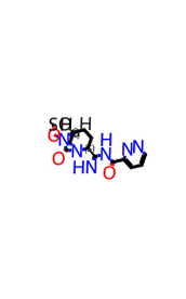 N=C(NC(=O)c1cccnn1)[C@@H]1CC[C@@H]2CN1C(=O)N2OS(=O)(=O)O